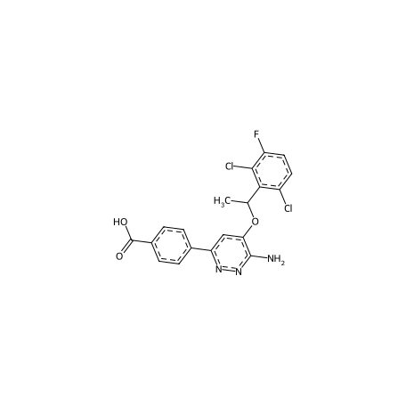 CC(Oc1cc(-c2ccc(C(=O)O)cc2)nnc1N)c1c(Cl)ccc(F)c1Cl